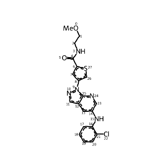 COCCNC(=O)c1cc(-n2ncc3cc(Nc4ccccc4Cl)cnc32)cs1